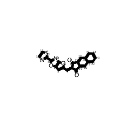 O=C1C(=Cc2cc3oc(-c4nccs4)nc3o2)C(=O)c2cc3ccccc3cc21